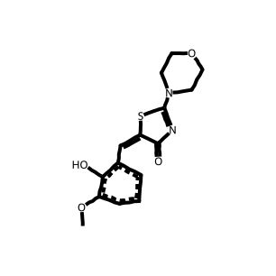 COc1cccc(C=C2SC(N3CCOCC3)=NC2=O)c1O